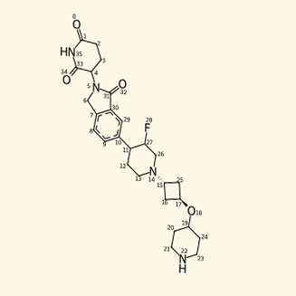 O=C1CCC(N2Cc3ccc(C4CCN([C@H]5C[C@H](OC6CCNCC6)C5)CC4F)cc3C2=O)C(=O)N1